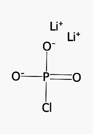 O=P([O-])([O-])Cl.[Li+].[Li+]